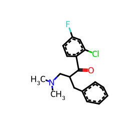 CN(C)CC(Cc1ccccc1)C(=O)c1ccc(F)cc1Cl